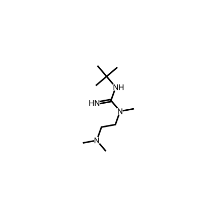 CN(C)CCN(C)C(=N)NC(C)(C)C